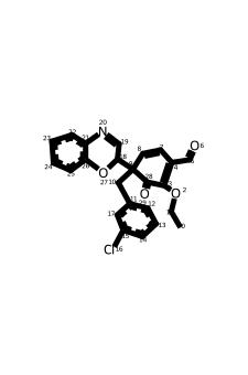 CCOC1=C(C=O)C=CC(Cc2cccc(Cl)c2)(C2C=Nc3ccccc3O2)C1=O